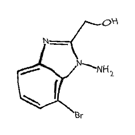 Nn1c(CO)nc2cccc(Br)c21